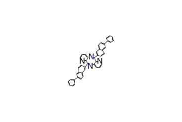 c1ccc(-c2ccc3cc(/C4=N/c5cccnc5/C(c5ccc6cc(-c7ccccc7)ccc6c5)=N\c5cccnc54)ccc3c2)cc1